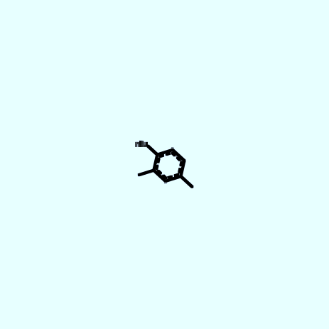 CCCCc1[c]cc(C)[c]c1C